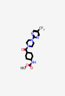 CC(C)(C)OC(=O)NC1CCC(C(=O)N2CCN(c3ncc(C(F)(F)F)cn3)CC2)CC1